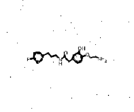 NCCOc1ccc(CC(=O)NCCCc2ccc(F)cc2)cc1O